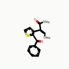 CO/C=C(/C(=O)OC)c1ccsc1C(=O)c1ccccc1